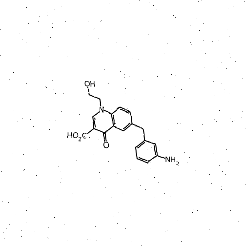 Nc1cccc(Cc2ccc3c(c2)c(=O)c(C(=O)O)cn3CCO)c1